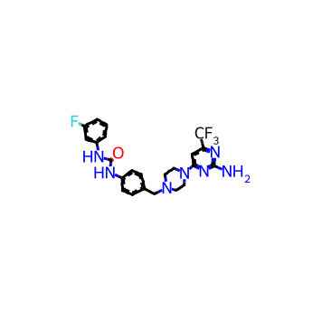 Nc1nc(N2CCN(Cc3ccc(NC(=O)Nc4cccc(F)c4)cc3)CC2)cc(C(F)(F)F)n1